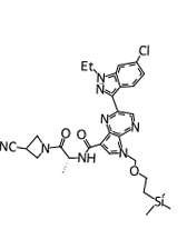 CCn1nc(-c2cnc3c(n2)c(C(=O)N[C@H](C)C(=O)N2CC(C#N)C2)cn3COCC[Si](C)(C)C)c2ccc(Cl)cc21